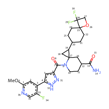 COc1cc(-c2cc(C(=O)N3CCC(C(N)=O)CC34CC4C3CCC4(CC3)OCC4(F)F)n[nH]2)c(F)cn1